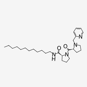 CCCCCCCCCCCCNC(=O)[C@@H]1CCCN1C(=O)[C@@H]1CCCN1Cc1ccccn1